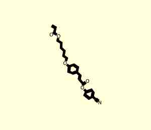 C=CC(=O)OCCCCCCOc1ccc(C=CC(=O)Oc2ccc(C#N)cc2)cc1